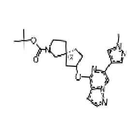 Cn1cc(-c2cn3nccc3c(OC3CC[C@]4(CCN(C(=O)OC(C)(C)C)C4)C3)n2)cn1